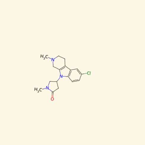 CN1CCc2c(n(C3CC(=O)N(C)C3)c3ccc(Cl)cc23)C1